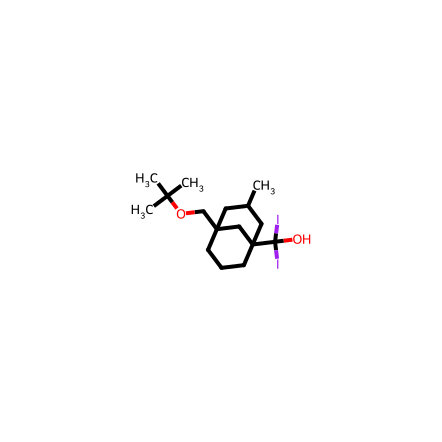 CC1CC2(COC(C)(C)C)CCCC(C(O)(I)I)(C1)C2